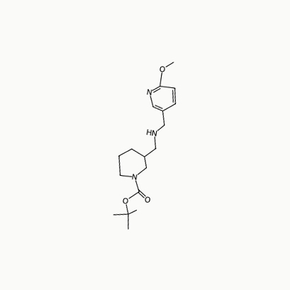 COc1ccc(CNCC2CCCN(C(=O)OC(C)(C)C)C2)cn1